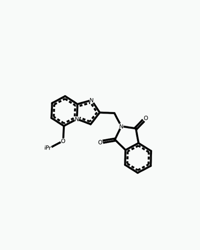 CC(C)Oc1cccc2nc(CN3C(=O)c4ccccc4C3=O)cn12